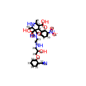 CC1=C(C(=O)O)C(c2cccc([N+](=O)[O-])c2)C(C(=O)O)(C(=O)NCCNCC(O)COc2ccccc2C#N)C(C)N1